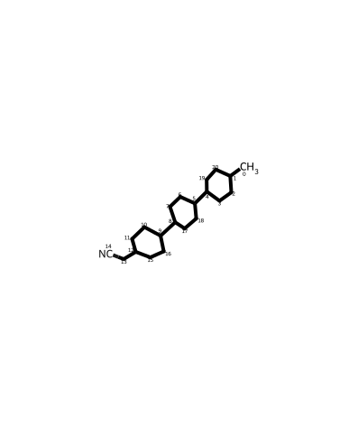 CC1CCC(C2CCC(C3CCC(CC#N)CC3)CC2)CC1